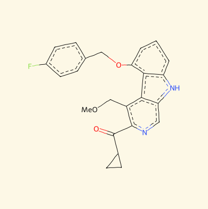 COCc1c(C(=O)C2CC2)ncc2[nH]c3cccc(OCc4ccc(F)cc4)c3c12